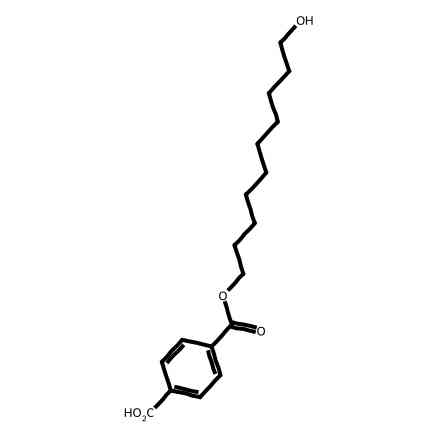 O=C(O)c1ccc(C(=O)OCCCCCCCCCCO)cc1